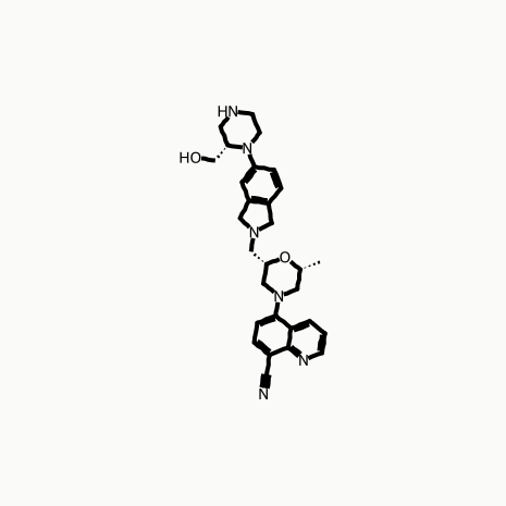 C[C@@H]1CN(c2ccc(C#N)c3ncccc23)C[C@H](CN2Cc3ccc(N4CCNC[C@H]4CO)cc3C2)O1